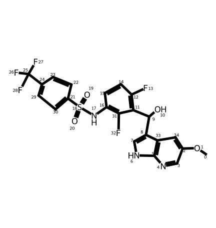 COc1cnc2[nH]cc(C(O)c3c(F)ccc(NS(=O)(=O)c4ccc(C(F)(F)F)cc4)c3F)c2c1